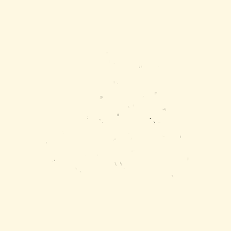 Cc1cc(C(C)Nc2ccccc2C(=O)O)c2oc(N3CCc4ccccc4C3)cc(=O)c2c1